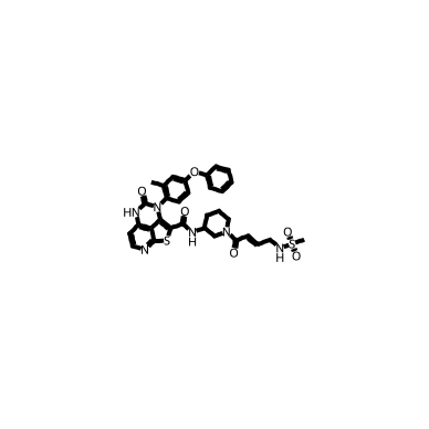 Cc1cc(Oc2ccccc2)ccc1N1C(=O)Nc2ccnc3sc(C(=O)NC4CCCN(C(=O)C=CCNS(C)(=O)=O)C4)c1c23